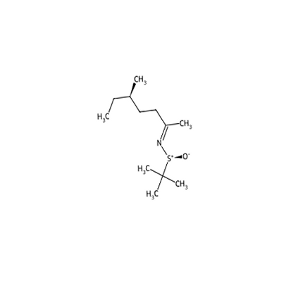 CC[C@@H](C)CCC(C)=N[S@@+]([O-])C(C)(C)C